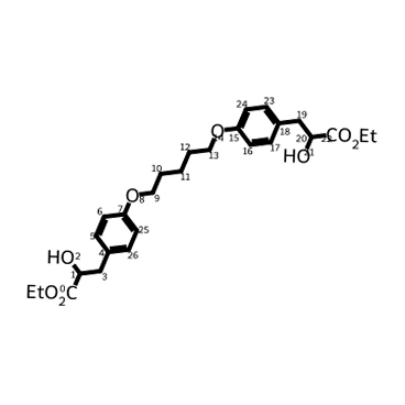 CCOC(=O)C(O)Cc1ccc(OCCCCCOc2ccc(CC(O)C(=O)OCC)cc2)cc1